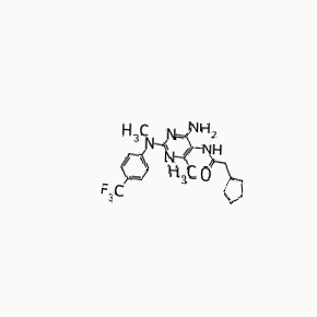 Cc1nc(N(C)c2ccc(C(F)(F)F)cc2)nc(N)c1NC(=O)CC1CCCC1